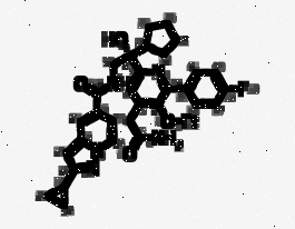 CCOc1c(CC(N)=O)cc([C@@](O)(CNC(=O)c2ccn3nc(C4CC4)cc3c2)C2CCCC2)nc1-c1ccc(F)cc1